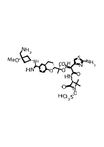 CO[C@]1(CN)C[C@H](NC(=N)c2ccc3c(c2)CC[C@H]([C@](C)(O/N=C(\C(=O)N[C@@H]2C(=O)N(OS(=O)(=O)O)C2(C)C)c2csc(N)n2)C(=O)O)O3)C1